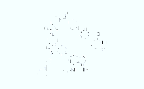 CC(C)n1cnc2cc(-c3ccc4c(c3)N(C3CC(N5CCCCC5)C3)C(=O)C43CCN(C(=O)C4(F)CCCN(C(=O)C5CCN(c6ccc([C@H]7CCC(=O)NC7=O)cn6)CC5)C4)CC3)nc(NC3CC3)c21